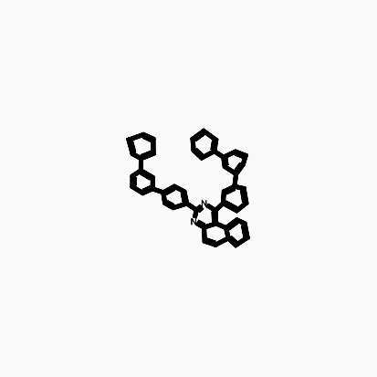 c1ccc(-c2cccc(-c3ccc(-c4nc(-c5cccc(-c6cccc(-c7ccccc7)c6)c5)c5c(ccc6ccccc65)n4)cc3)c2)cc1